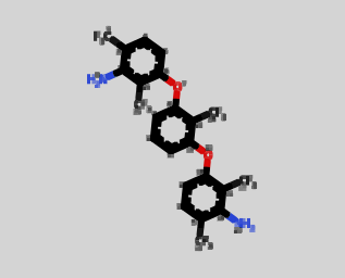 Nc1c(C(F)(F)F)ccc(Oc2cccc(Oc3ccc(C(F)(F)F)c(N)c3C(F)(F)F)c2C(F)(F)F)c1C(F)(F)F